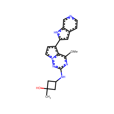 COc1nc(NC2CC(C)(O)C2)nn2ccc(-c3cc4ccncc4[nH]3)c12